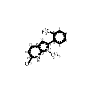 Cn1c(-c2ccccc2C(F)(F)F)cc2ccc(Cl)nc21